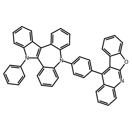 c1ccc(-n2c3c(c4ccccc42)-c2ccccc2N(c2ccc(-c4c5ccccc5nc5oc6ccccc6c45)cc2)c2ccccc2-3)cc1